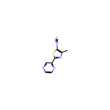 [C-]#[N+]c1sc(-c2cnccn2)nc1C